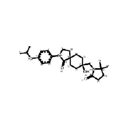 CC(C)Oc1ccc(N2CCC3(CCC(O)(CN4C(=O)CCC4(C)C)CC3)C2=O)cc1